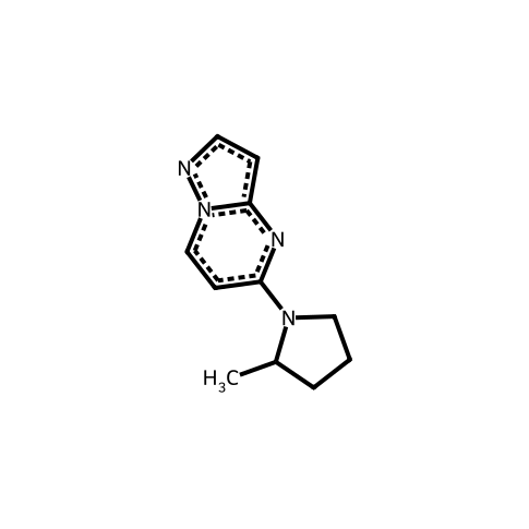 CC1CCCN1c1ccn2nccc2n1